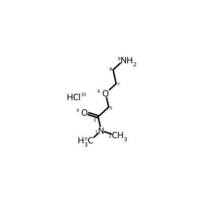 CN(C)C(=O)COCCN.Cl